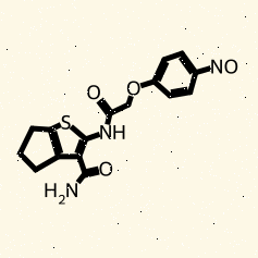 NC(=O)c1c(NC(=O)COc2ccc(N=O)cc2)sc2c1CCC2